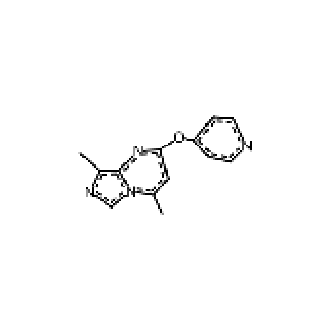 Cc1ncn2c(C)cc(Oc3ccncc3)nc12